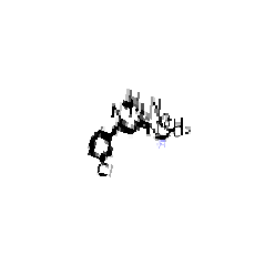 CC(=O)/C=C\N(C(N)=O)c1cc(-c2cccc(Cl)c2)ncn1